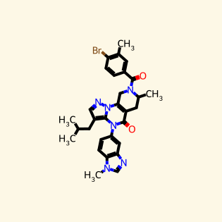 Cc1cc(C(=O)N2Cc3c(c(=O)n(-c4ccc5c(c4)ncn5C)c4c(CC(C)C)cnn34)CC2C)ccc1Br